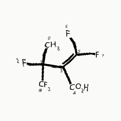 CC(F)(C(C(=O)O)=C(F)F)C(F)(F)F